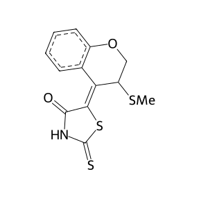 CSC1COc2ccccc2C1=C1SC(=S)NC1=O